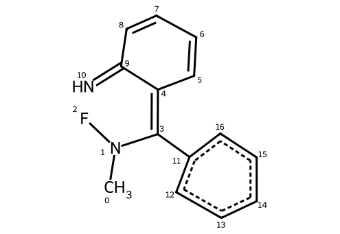 CN(F)/C(=C1/C=CC=CC1=N)c1ccccc1